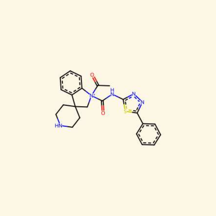 CC(=O)[N+]1(C(=O)Nc2nnc(-c3ccccc3)s2)CC2(CCNCC2)c2ccccc21